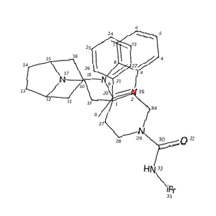 Cc1nc2ccccc2n1C1CC2CCC(C1)N2CCC1(c2ccccc2)CCN(C(=O)NC(C)C)CC1